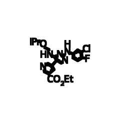 CCOC(=O)c1cncc(-c2cnc(Nc3ccc(F)c(Cl)c3)nc2NCCOC(C)C)c1